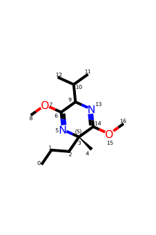 CCC[C@]1(C)N=C(OC)C(C(C)C)N=C1OC